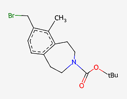 Cc1c(CBr)ccc2c1CCN(C(=O)OC(C)(C)C)CC2